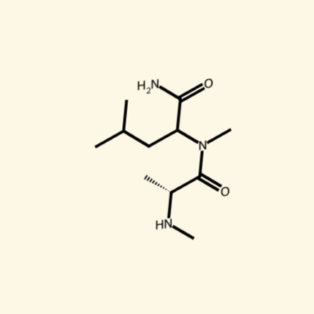 CN[C@H](C)C(=O)N(C)C(CC(C)C)C(N)=O